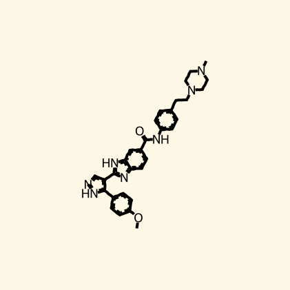 COc1ccc(-c2[nH]ncc2-c2nc3ccc(C(=O)Nc4ccc(CCN5CCN(C)CC5)cc4)cc3[nH]2)cc1